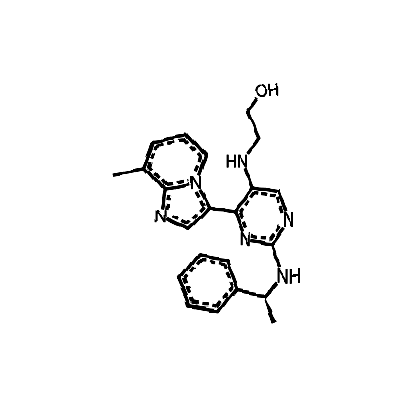 Cc1cccn2c(-c3nc(N[C@@H](C)c4ccccc4)ncc3NCCO)cnc12